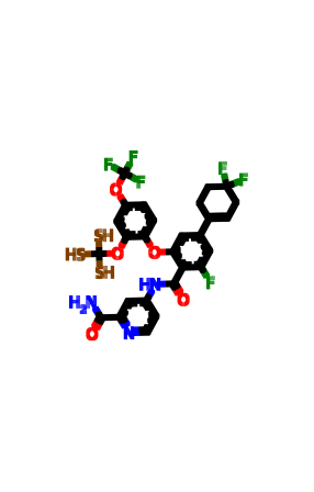 NC(=O)c1cc(NC(=O)c2c(F)cc(C3=CCC(F)(F)CC3)cc2Oc2ccc(OC(F)(F)F)cc2OC(S)(S)S)ccn1